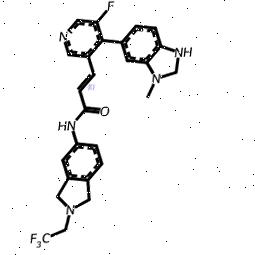 CN1CNc2ccc(-c3c(F)cncc3/C=C/C(=O)Nc3ccc4c(c3)CN(CC(F)(F)F)C4)cc21